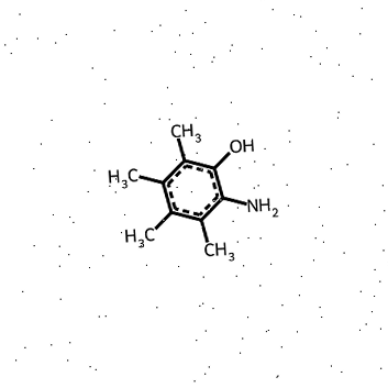 Cc1c(C)c(C)c(O)c(N)c1C